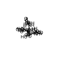 Cc1c(C)c(S(=O)(=O)NC(=N)NCCC[C@H](NC(=O)[C@H](CCCNC(=N)NS(=O)(=O)c2c(C)c(C)c3c(c2C)CC(C)(C)O3)NC(=O)[C@@H](N)CCCNC(=N)NS(=O)(=O)c2c(C)c(C)c3c(c2C)CC(C)(C)O3)C(=O)NCC(=O)O)c(C)c2c1OC(C)(C)C2